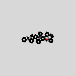 CC(C)(C)c1ccc([Si](c2ccccc2)(c2ccccc2)c2ccc(C(C)(C)C)c(-c3cccc4c3sc3nc5ccccc5n34)c2)cc1-c1cccc2c1Sc1ccccc1C(C)(C)C2(C)C